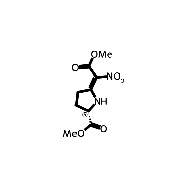 COC(=O)C(=C1CC[C@@H](C(=O)OC)N1)[N+](=O)[O-]